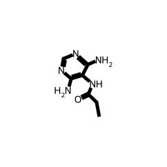 CCC(=O)Nc1c(N)ncnc1N